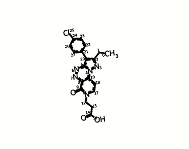 CCc1nn2c(nnc3c(=O)n(CCC(=O)O)ccc32)c1-c1ccc(Cl)cc1